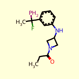 CCC(=O)N1CC(Nc2cccc(C(C)(F)P)c2)C1